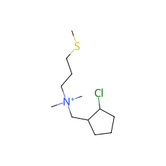 CSCCC[N+](C)(C)CC1CCCC1Cl